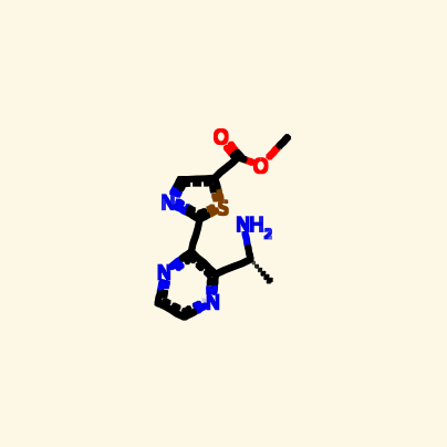 COC(=O)c1cnc(-c2nccnc2[C@@H](C)N)s1